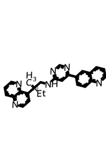 CC[C@](C)(CNc1cc(-c2ccc3ncccc3c2)ncn1)c1ccnc2cccnc12